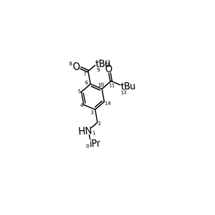 CC(C)NCc1ccc(C(=O)C(C)(C)C)c(C(=O)C(C)(C)C)c1